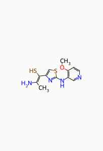 COc1ccncc1Nc1nc(/C(S)=C(\C)N)cs1